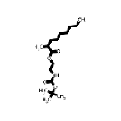 CCCCCCCC(C)C(=O)OCCNC(=O)OC(C)(C)C